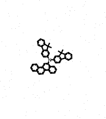 CC1(C)c2ccccc2-c2ccc(N(c3ccc4c(c3)C(C)(C)c3ccccc3-4)c3cc4c5ccccc5ccc4c4ccccc34)cc21